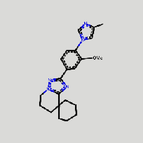 COc1cc(-c2nc3n(n2)CCCC32CCCCC2)ccc1-n1cnc(C)c1